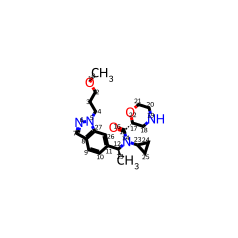 COCCCn1ncc2ccc([C@H](C)N(C(=O)[C@H]3CNCCO3)C3CC3)cc21